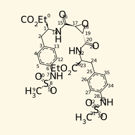 CCOC(=O)[C@H](Cc1ccc(NS(C)(=O)=O)cc1)NC(=O)[C@H]1O[C@@H]1C(=O)N[C@@H](Cc1ccc(NS(C)(=O)=O)cc1)C(=O)OCC